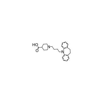 O=C(O)C1CCN(CCCCN2c3ccccc3CCc3ccccc32)CC1